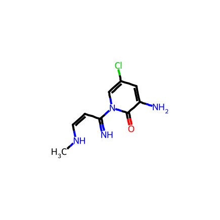 CN/C=C\C(=N)n1cc(Cl)cc(N)c1=O